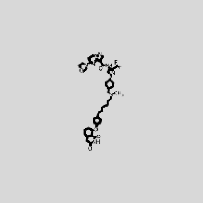 CN(CCCCCCc1ccc(Oc2cccc3c2C(=O)NC(=O)C3)cc1)CC1CCC(n2cc(NC(=O)c3cnn4ccc(N5CCOCC5)nc34)c(C(F)F)n2)CC1